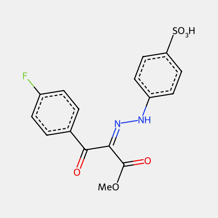 COC(=O)/C(=N\Nc1ccc(S(=O)(=O)O)cc1)C(=O)c1ccc(F)cc1